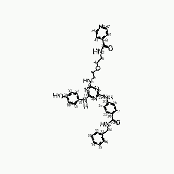 O=C(NCCOCCNc1nc(Nc2ccc(O)cc2)nc(Nc2ccc(C(=O)NCc3ccccc3)cc2)n1)c1ccncc1